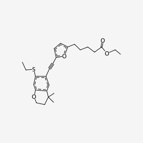 CCOC(=O)CCCCc1ccc(C#Cc2cc3c(cc2SCC)OCCC3(C)C)o1